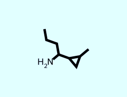 CCCC(N)C1CC1C